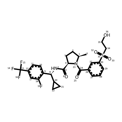 C[C@@H]1CC[C@H](C(=O)N[C@@H](c2ccc(C(F)(F)F)cc2F)C2CC2)N1C(=O)c1cccc(S(=O)(=O)CCO)c1